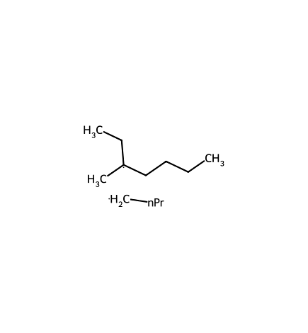 CCCC[C](C)CC.[CH2]CCC